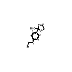 CC1(c2ccc(CCBr)cc2)OCCO1